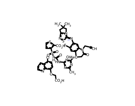 C#CCN1C(=O)COc2cc(F)c(/N=c3\snc4n3CC(C)(C)C4)cc21.COc1nc(C)nc(NC(=O)NS(=O)(=O)c2ccsc2C(=O)O)n1.O=C(O)COc1ccc(Cl)c2cccnc12